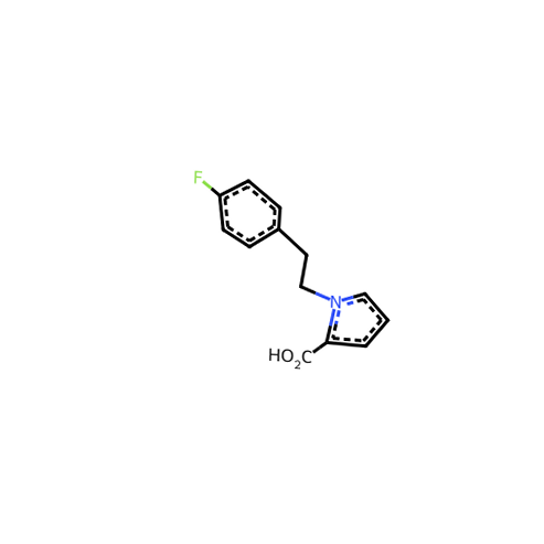 O=C(O)c1cccn1CCc1ccc(F)cc1